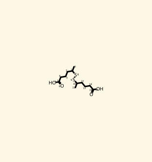 CC(CCCC(=O)O)SSC(C)CCCC(=O)O